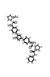 CC(=O)N1CCC[C@H]1C(=O)Nc1ccc(-c2cc(-c3ccc(NC(=O)[C@@H]4CCCN4C(=O)Cc4ccccc4)cc3)n[nH]2)cc1